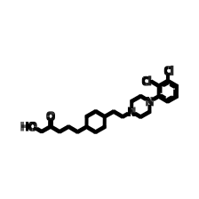 O=C(CO)CCCC1CCC(CCN2CCN(c3cccc(Cl)c3Cl)CC2)CC1